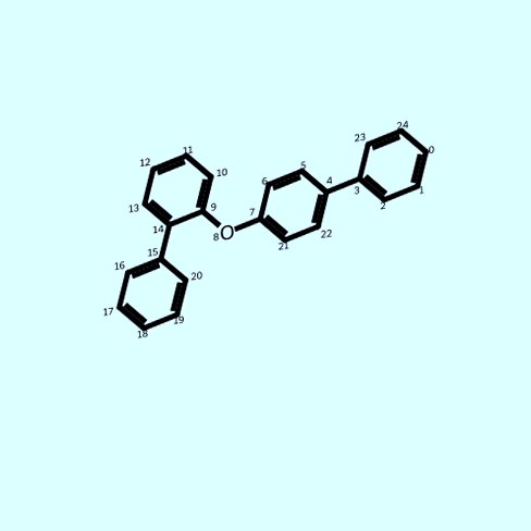 c1ccc(-c2ccc(Oc3ccccc3-c3ccccc3)cc2)cc1